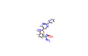 C[C@@H](NC(=O)c1cnc(-c2ccccn2)nc1)c1cccc(C(N)=NO)c1